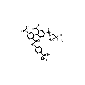 CC(C)(C)CNC(=O)c1ccc(-c2cc([N+](=O)[O-])ccc2C(=O)Nc2ccc(C(=N)N)cc2)c(C(=O)O)c1